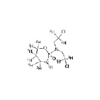 [2H]N1C([2H])([2H])C([2H])([2H])C([2H])([2H])OP1(=O)N(CC([2H])([2H])Cl)CC([2H])([2H])Cl